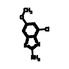 COc1cc(Cl)c2nc(N)sc2c1